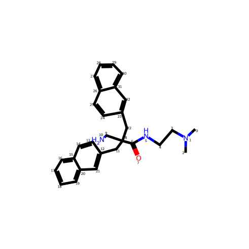 CN(C)CCNC(=O)C(CN)(Cc1ccc2ccccc2c1)Cc1ccc2ccccc2c1